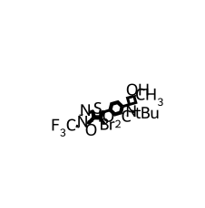 CC(C)(C)N(C(=O)O)[C@]1(c2ccc(-c3sc4ncn(CC(F)(F)F)c(=O)c4c3Br)cc2)C[C@](C)(O)C1